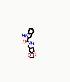 O=C(NCC1CCC2(C1)OCCO2)c1cc2ccccc2[nH]1